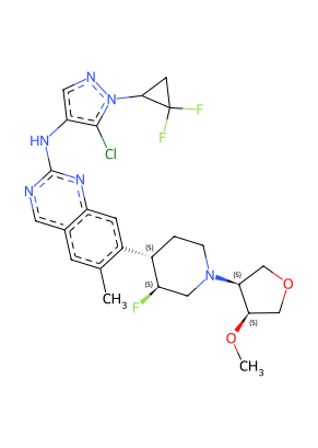 CO[C@@H]1COC[C@@H]1N1CC[C@@H](c2cc3nc(Nc4cnn(C5CC5(F)F)c4Cl)ncc3cc2C)[C@H](F)C1